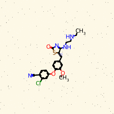 CCNCCNC1=NC(=O)S/C1=C\c1ccc(Oc2ccc(C#N)c(Cl)c2)c(OC)c1